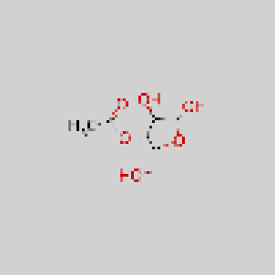 CC(=O)O[C@H]1[C@@H](CO)OC(O)[C@@H]1O